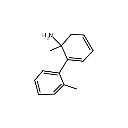 Cc1ccccc1C1=CC=CCC1(C)N